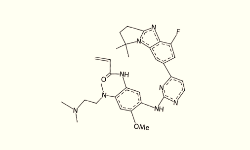 C=CC(=O)Nc1cc(Nc2nccc(-c3cc(F)c4nc5n(c4c3)C(C)(C)CC5)n2)c(OC)cc1N(C)CCN(C)C